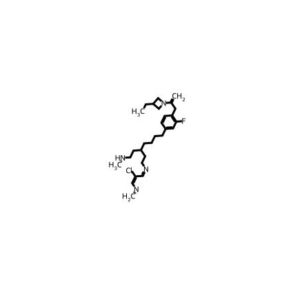 C=N/C=C(Cl)\C=N/CCC(CCCCc1ccc(CC(=C)N2CC(CC)C2)c(F)c1)CCNC